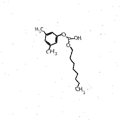 CCCCCCCCOP(O)Oc1cc(C)cc(C)c1